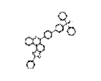 O=P(c1ccccc1)(c1ccccc1)c1ccc(-c2ccc(-c3nc4ccccc4c4c3ccc3oc(-c5ccccc5)nc34)cc2)cc1